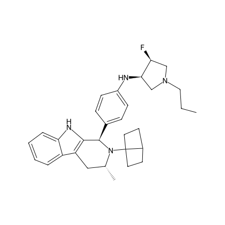 CCCN1C[C@H](F)[C@H](Nc2ccc([C@@H]3c4[nH]c5ccccc5c4C[C@@H](C)N3C34CCC3CC4)cc2)C1